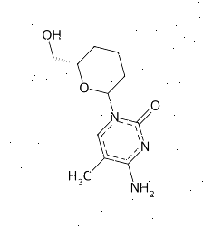 Cc1cn(C2CCC[C@@H](CO)O2)c(=O)nc1N